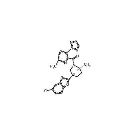 Cc1ccc(-n2nccn2)c(C(=O)N2C[C@H](c3nc4cc(Cl)ccc4o3)CC[C@H]2C)n1